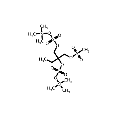 CCC(COS(C)(=O)=O)(COS(=O)(=O)O[Si](C)(C)C)OS(=O)(=O)O[Si](C)(C)C